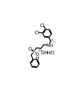 C[C@H](NC[C@H](O)CP(=O)(O)Cc1ccccc1)c1ccc(Cl)c(Cl)c1.Cl